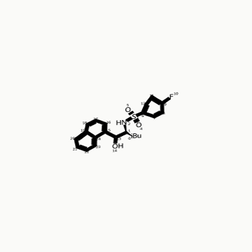 CC[C@H](C)[C@H](NS(=O)(=O)c1ccc(F)cc1)C(O)c1cccc2ccccc12